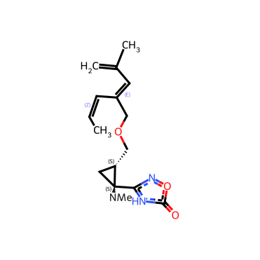 C=C(C)/C=C(\C=C/C)COC[C@H]1C[C@@]1(NC)c1noc(=O)[nH]1